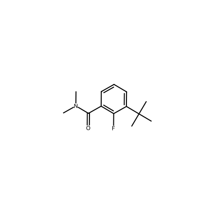 CN(C)C(=O)c1cccc(C(C)(C)C)c1F